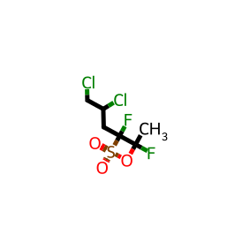 CC1(F)OS(=O)(=O)C1(F)CC(Cl)CCl